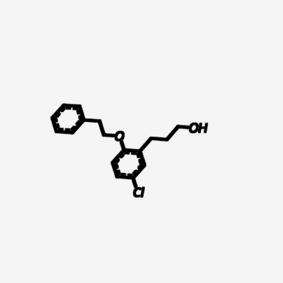 OCCCc1cc(Cl)ccc1OCCc1ccccc1